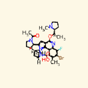 CC(=O)N1CCCC1c1cc2c(O[C@@H](C)C3CCCN3C)nc3c(F)c(Br)c(C)cc3c2n1[C@H]1[C@@H]2C[C@H]1N(C(=O)O)C2